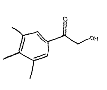 Cc1cc(C(=O)CO)cc(C)c1C